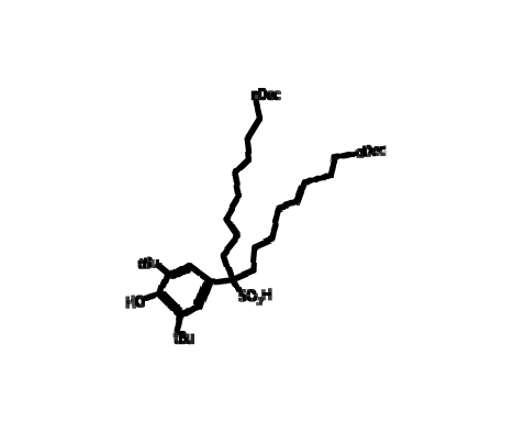 CCCCCCCCCCCCCCCCCCC(CCCCCCCCCCCCCCCCCC)(c1cc(C(C)(C)C)c(O)c(C(C)(C)C)c1)S(=O)(=O)O